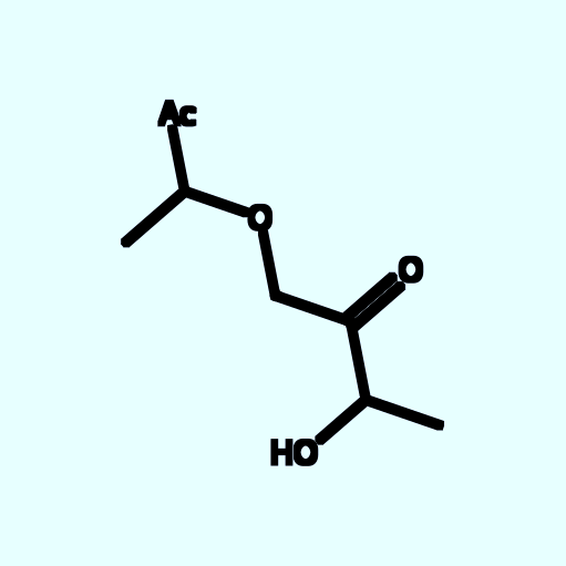 CC(=O)C(C)OCC(=O)C(C)O